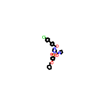 O=C(c1ccc(-c2ccc(Cl)cc2)cc1)N1CCN(S(=O)(=O)c2ccc(OCC3CCCCC3)cc2)[C@H](C(=O)N2CCCC2)C1